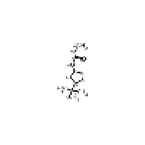 CC(C)(C)C1CCC(OC(=O)CN)C1